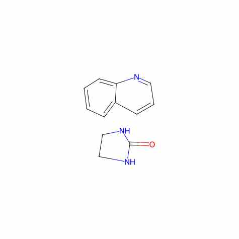 O=C1NCCN1.c1ccc2ncccc2c1